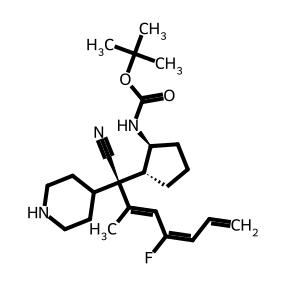 C=C/C=C(F)\C=C(/C)[C@](C#N)(C1CCNCC1)[C@H]1CCC[C@@H]1NC(=O)OC(C)(C)C